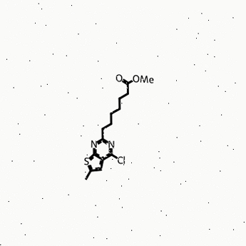 COC(=O)CCCCCCc1nc(Cl)c2cc(C)sc2n1